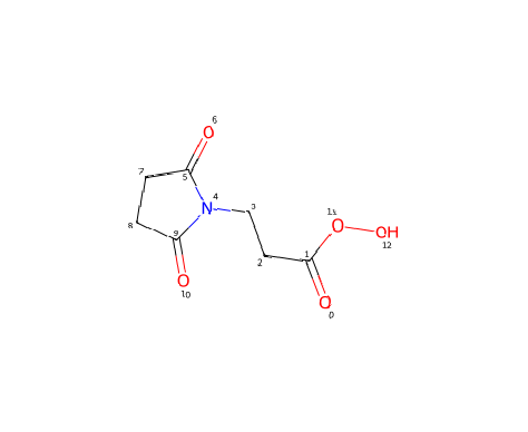 O=C(CCN1C(=O)CCC1=O)OO